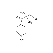 CCOC(C)(C)C(=O)N1CCN(C)CC1